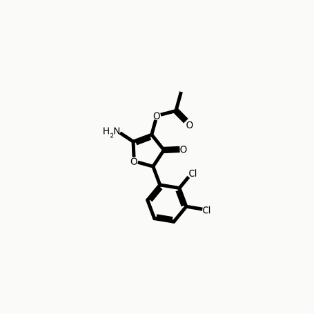 CC(=O)OC1=C(N)OC(c2cccc(Cl)c2Cl)C1=O